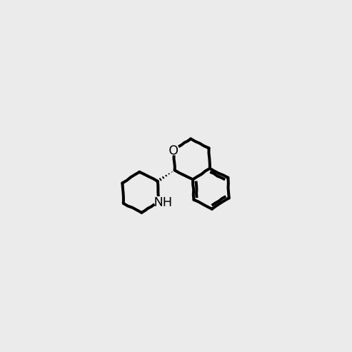 c1ccc2c(c1)CCO[C@H]2C1CCCCN1